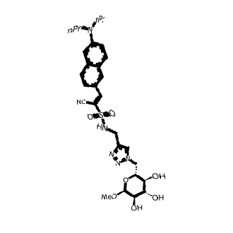 CCCN(CCC)c1ccc2cc(/C=C(\C#N)S(=O)(=O)NCc3cn(C[C@H]4O[C@H](OC)[C@H](O)[C@@H](O)[C@@H]4O)nn3)ccc2c1